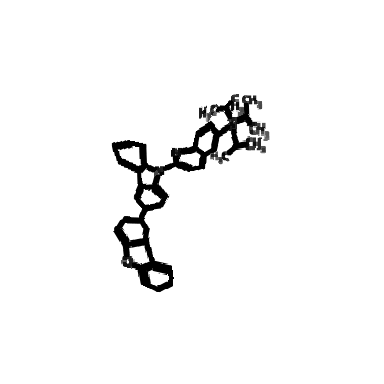 CC(C)[Si](c1ccc2nc(-n3c4ccccc4c4cc(C5=CC=C6Oc7ccccc7C6C5)ccc43)ccc2c1)(C(C)C)C(C)C